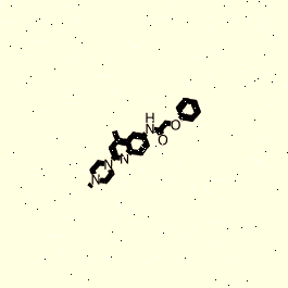 Cc1cc(N2CCN(C)CC2)nc2ccc(NC(=O)COc3ccccc3)cc12